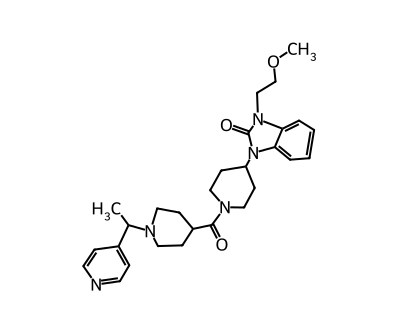 COCCn1c(=O)n(C2CCN(C(=O)C3CCN(C(C)c4ccncc4)CC3)CC2)c2ccccc21